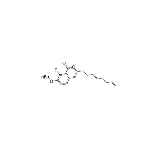 C=CCC/C=C/CCc1cc2ccc(OCCCC)c(F)c2c(=O)o1